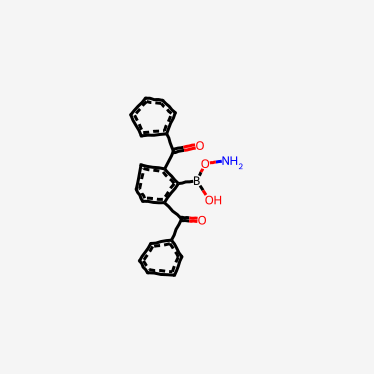 NOB(O)c1c(C(=O)c2ccccc2)cccc1C(=O)c1ccccc1